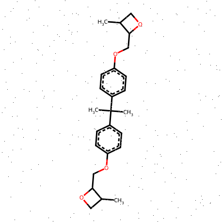 CC1COC1COc1ccc(C(C)(C)c2ccc(OCC3OCC3C)cc2)cc1